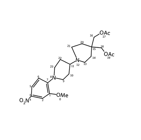 COc1cc([N+](=O)[O-])ccc1N1CCC(N2CCC(COC(C)=O)(COC(C)=O)CC2)CC1